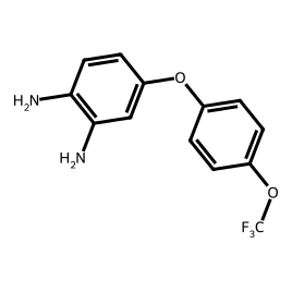 Nc1ccc(Oc2ccc(OC(F)(F)F)cc2)cc1N